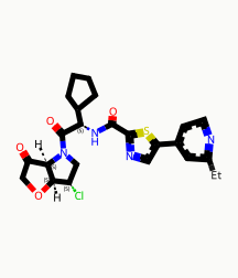 CCc1cc(-c2cnc(C(=O)N[C@H](C(=O)N3C[C@H](Cl)[C@H]4OCC(=O)[C@H]43)C3CCCC3)s2)ccn1